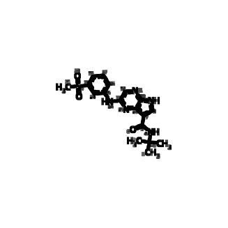 CC(C)(C)NC(=O)c1c[nH]c2ncc(Nc3cccc(S(C)(=O)=O)c3)nc12